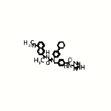 COc1cccc2cc(C(C)NC(=O)N(Cc3ccc(C(=O)Nc4nn[nH]n4)cc3)c3ccc(C4CCCCC4)cc3)ccc12